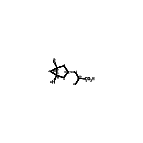 C[C@@H](C[C@@H]1C[C@@H]2C[C@@H]2C1)C(=O)O